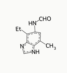 CCc1c(NC=O)cc(C)c2[nH]cnc12